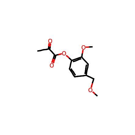 COCc1ccc(OC(=O)C(C)=O)c(OC)c1